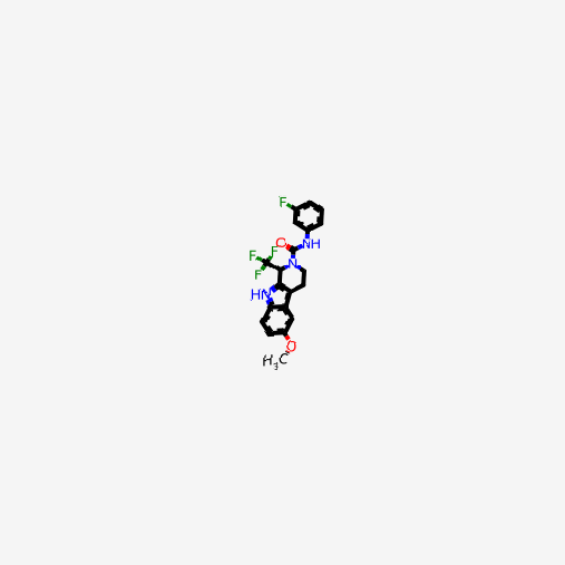 COc1ccc2[nH]c3c(c2c1)CCN(C(=O)Nc1cccc(F)c1)C3C(F)(F)F